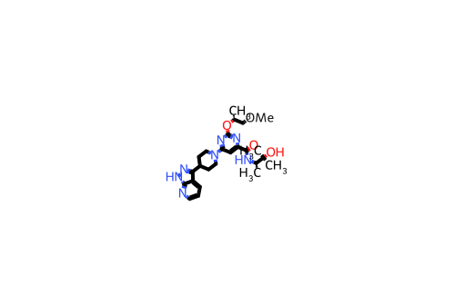 COC[C@@H](C)Oc1nc(C(=O)N[C@H](C)C(C)(C)O)cc(N2CCC(c3n[nH]c4ncccc34)CC2)n1